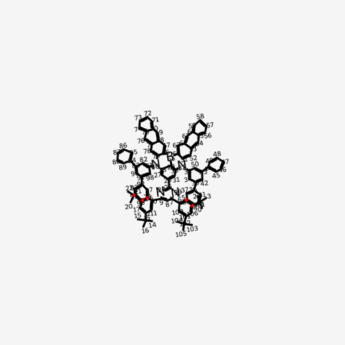 CC(C)(C)c1cc(-c2cc(-c3cc(C(C)(C)C)cc(C(C)(C)C)c3)nc(-c3cc4c5c(c3)N(c3cc(-c6ccccc6)cc(-c6ccccc6)c3)c3cc6cc7ccccc7cc6cc3B5c3cc5cc6ccccc6cc5cc3N4c3cc(-c4ccccc4)cc(-c4ccccc4)c3)n2)cc(C(C)(C)C)c1